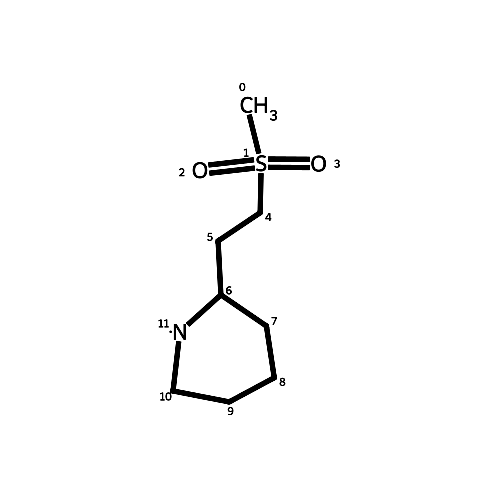 CS(=O)(=O)CCC1CCCC[N]1